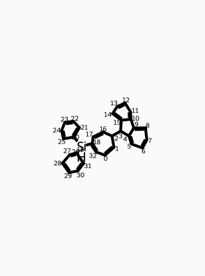 C1=CC(C2c3ccccc3-c3ccccc32)C=CC([SiH](c2ccccc2)c2ccccc2)=C1